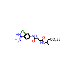 CCOC(=O)CC(C)NC(=O)CCC(=O)Nc1ccc(C(=N)N)c(Cl)c1